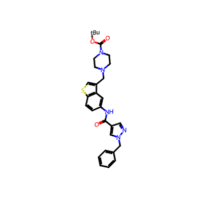 CC(C)(C)OC(=O)N1CCN(Cc2csc3ccc(NC(=O)c4cnn(Cc5ccccc5)c4)cc23)CC1